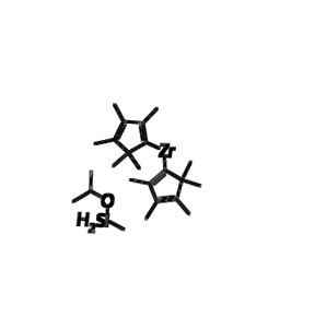 CC1=C(C)C(C)(C)[C]([Zr][C]2=C(C)C(C)=C(C)C2(C)C)=C1C.C[SiH2]OC(C)C